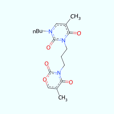 CCCCn1cc(C)c(=O)n(CCCn2c(=O)occ(C)c2=O)c1=O